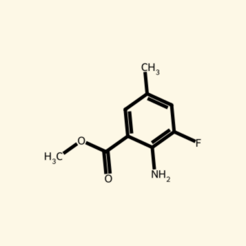 COC(=O)c1cc(C)cc(F)c1N